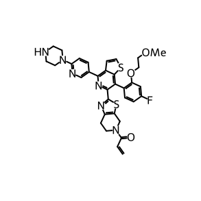 C=CC(=O)N1CCc2nc(-c3nc(-c4ccc(N5CCNCC5)nc4)c4ccsc4c3-c3ccc(F)cc3OCCOC)sc2C1